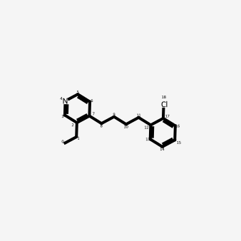 CCc1cnccc1CCCCc1ccccc1Cl